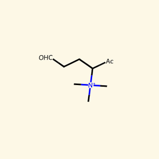 CC(=O)C(CCC=O)[N+](C)(C)C